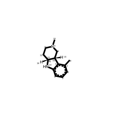 Cc1cccc2c1[C@H]1CN(C)CC[C@H]1N2